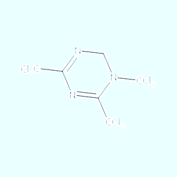 ClC(Cl)(Cl)C1=NCN(C(Cl)(Cl)Cl)C(C(Cl)(Cl)Cl)=N1